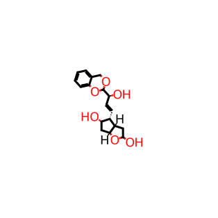 OC1C[C@@H]2[C@@H](/C=C/[C@H](O)C3OCc4ccccc4O3)[C@H](O)C[C@@H]2O1